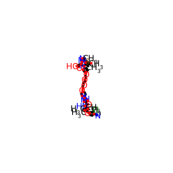 Cc1sc2c(c1C)C(c1ccc(OCCOCCOCCOC3CCN(c4ncc(C(=O)NC5C(C)(C)C(Oc6ccc(C#N)c(Cl)c6)C5(C)C)cn4)CC3)cc1)=N[C@@H](CC(=O)O)c1nnc(C)n1-2